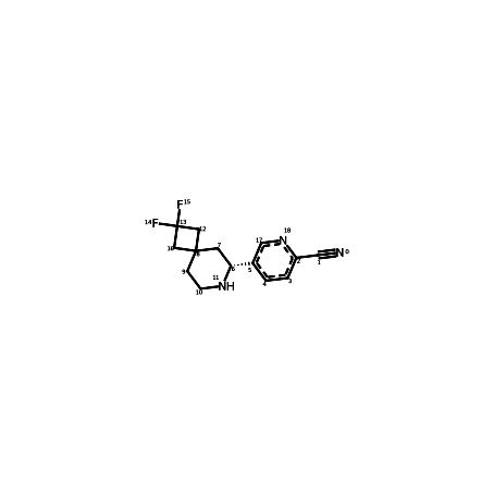 N#Cc1ccc([C@H]2CC3(CCN2)CC(F)(F)C3)cn1